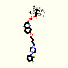 CC(C)(C)C(C)(C)C(=O)OCOC1=Nc2cc(OCCCCN3CCN(c4cccc(Cl)c4Cl)CC3)ccc2CC1